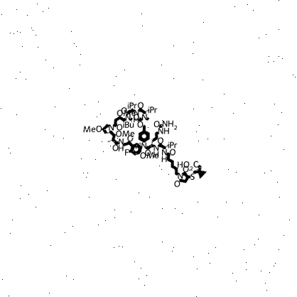 CC[C@H](C)C([C@@H](CC(=O)N1C[C@H](OC)C[C@H]1[C@H](OC)[C@@H](C)C(=O)NCC(=O)c1ccc(OC)cc1F)OC)N(C)C(=O)[C@@H](NC(=O)[C@H](C(C)C)N(C)C(=O)OCc1ccc(NC(=O)[C@H](CCCNC(N)=O)NC(=O)[C@@H](NC(=O)CCCCCN2C(=O)CC(SCC3(CC(=O)O)CC3)C2=O)C(C)C)cc1)C(C)C